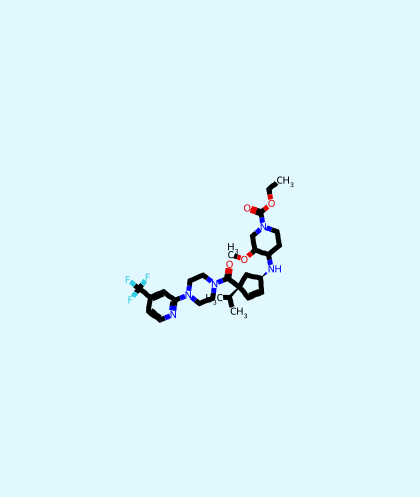 CCOC(=O)N1CCC(N[C@@H]2C=C[C@@](C(=O)N3CCN(c4cc(C(F)(F)F)ccn4)CC3)(C(C)C)C2)C(OC)C1